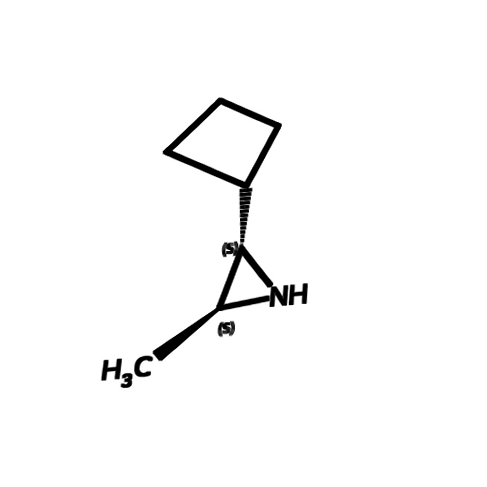 C[C@@H]1N[C@H]1C1CCC1